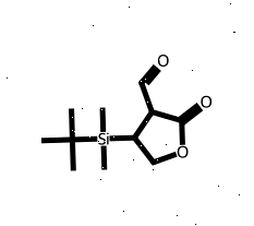 CC(C)(C)[Si](C)(C)C1COC(=O)C1C=O